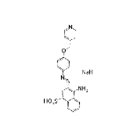 Nc1c(N=Nc2ccc(OCc3ccncc3)cc2)cc(S(=O)(=O)O)c2ccccc12.[NaH]